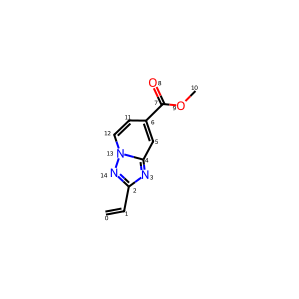 C=Cc1nc2cc(C(=O)OC)ccn2n1